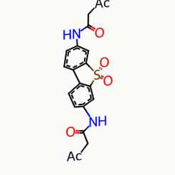 CC(=O)CC(=O)Nc1ccc2c(c1)S(=O)(=O)c1cc(NC(=O)CC(C)=O)ccc1-2